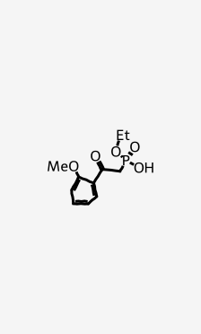 CCOP(=O)(O)CC(=O)c1ccccc1OC